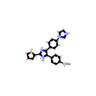 COc1ccc(-c2[nH]c(-c3cccs3)nc2-c2ccc(-n3ccnc3)cc2)cc1